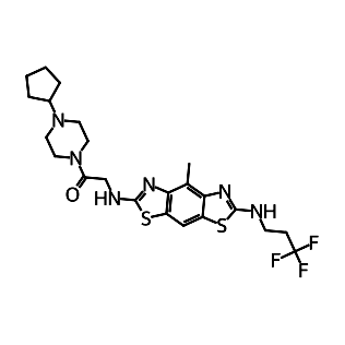 Cc1c2nc(NCCC(F)(F)F)sc2cc2sc(NCC(=O)N3CCN(C4CCCC4)CC3)nc12